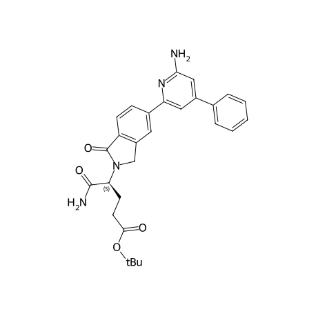 CC(C)(C)OC(=O)CC[C@@H](C(N)=O)N1Cc2cc(-c3cc(-c4ccccc4)cc(N)n3)ccc2C1=O